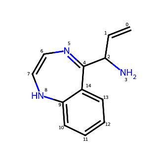 C=CC(N)C1=NC=CNc2ccccc21